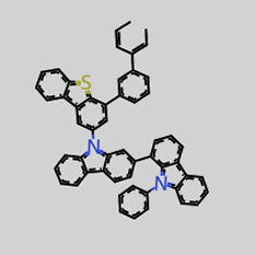 C/C=C\C(=C/C)c1cccc(-c2cc(-n3c4ccccc4c4ccc(-c5cccc6c7ccccc7n(-c7ccccc7)c56)cc43)cc3c2sc2ccccc23)c1